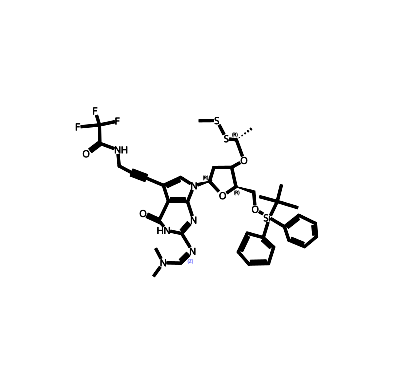 CSS[C@H](C)OC1C[C@H](n2cc(C#CCNC(=O)C(F)(F)F)c3c(=O)[nH]c(/N=C\N(C)C)nc32)O[C@@H]1CO[Si](c1ccccc1)(c1ccccc1)C(C)(C)C